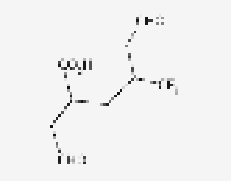 O=CCC(CC(CC=O)C(F)(F)F)C(=O)O